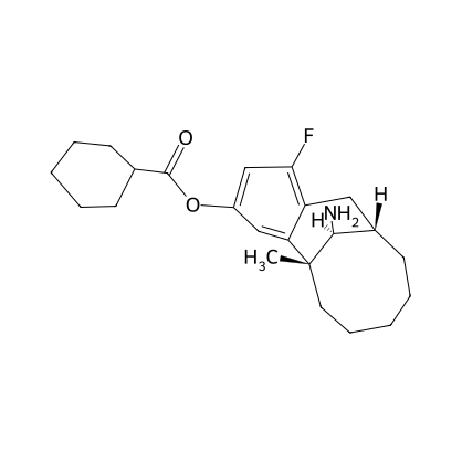 C[C@@]12CCCCC[C@@H](Cc3c(F)cc(OC(=O)C4CCCCC4)cc31)[C@@H]2N